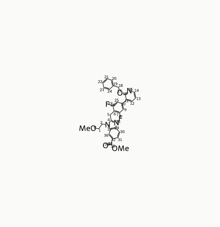 COCCn1c(Cc2c(F)cc(-c3cccnc3OCc3ccccc3)cc2F)nc2ccc(C(=O)OC)cc21